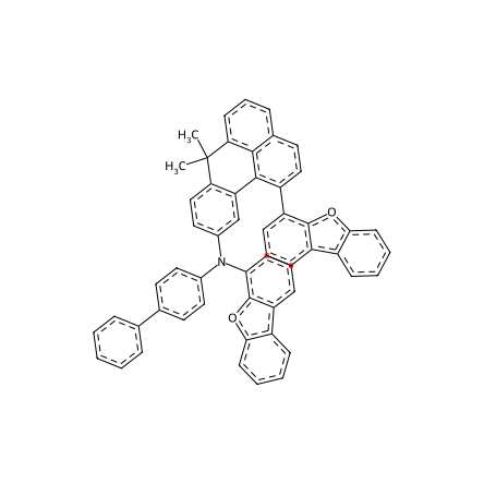 CC1(C)c2ccc(N(c3ccc(-c4ccccc4)cc3)c3cccc4c3oc3ccccc34)cc2-c2c(-c3cccc4c3oc3ccccc34)ccc3cccc1c23